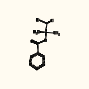 CC(C)(OC(=O)c1cc[c]cc1)C(Cl)Cl